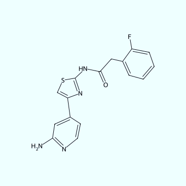 Nc1cc(-c2csc(NC(=O)Cc3ccccc3F)n2)ccn1